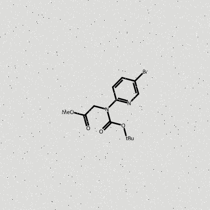 COC(=O)CN(C(=O)OC(C)(C)C)c1ccc(Br)cn1